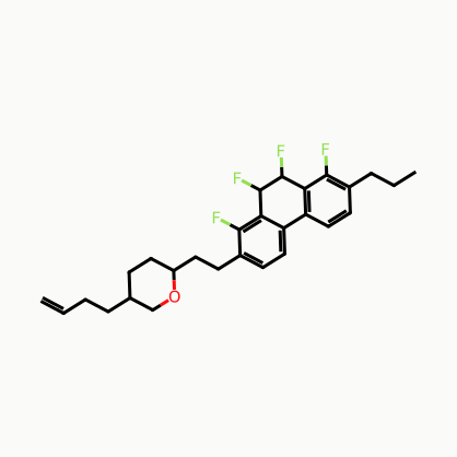 C=CCCC1CCC(CCc2ccc3c(c2F)C(F)C(F)c2c-3ccc(CCC)c2F)OC1